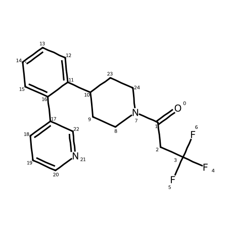 O=C(CC(F)(F)F)N1CCC(c2cc[c]cc2-c2cccnc2)CC1